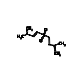 C=C(C)C=CS(=O)(=O)C=CC(=C)C